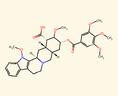 COc1cc(C(=O)O[C@@H]2C[C@@H]3CN4CCc5c(n(OC)c6ccccc56)[C@H]4C[C@@H]3[C@H](C(=O)O)C2OC)cc(OC)c1OC